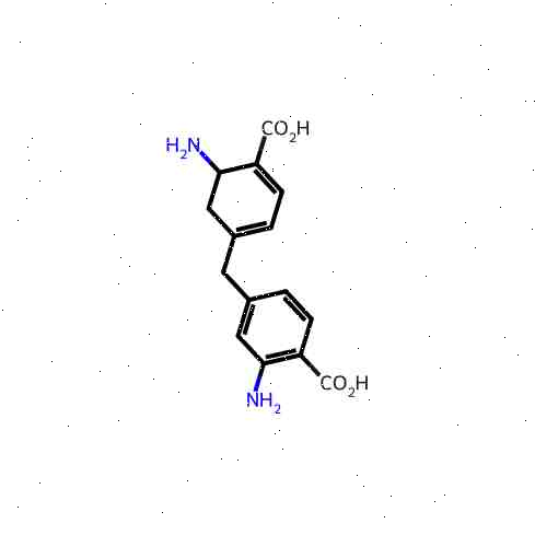 Nc1cc(CC2=CC=C(C(=O)O)C(N)C2)ccc1C(=O)O